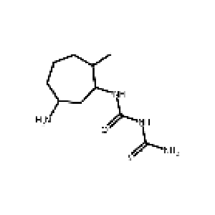 CC1CCCC(N)CC1NC(=O)NC(N)=S